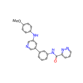 COc1ccc(Nc2cncc(-c3cccc(NC(=O)c4cccnn4)c3)c2)cc1